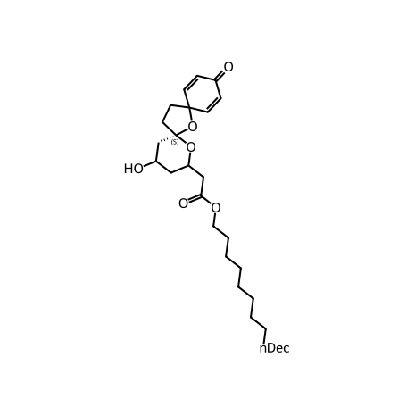 CCCCCCCCCCCCCCCCCCOC(=O)CC1CC(O)C[C@@]2(CCC3(C=CC(=O)C=C3)O2)O1